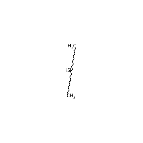 CCCCCC=CCCCCCCCCCCCCC.[Si]